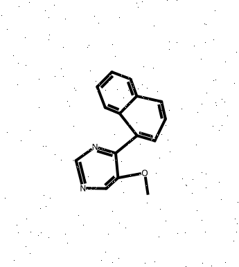 COc1cn[c]nc1-c1cccc2ccccc12